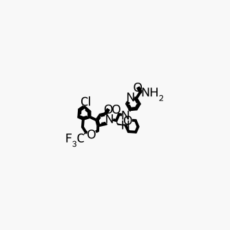 NC(=O)c1ccc(NC(=O)[C@H](C[C@@H]2CCCCO2)n2cc3c(cc2=O)-c2cc(Cl)ccc2C[C@@H](C(F)(F)F)OC3)cn1